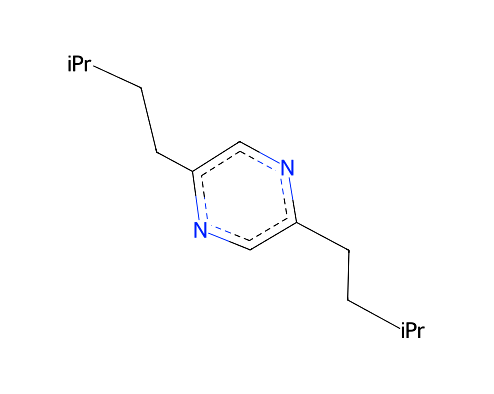 CC(C)CCc1cnc(CCC(C)C)cn1